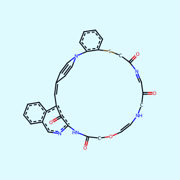 O=C1C=NC(=O)CSc2ccccc2N2C=CC(=Cc3c(=O)c(ncc4ccccc34)NC(=O)CO/C=C\NC1)C=C2